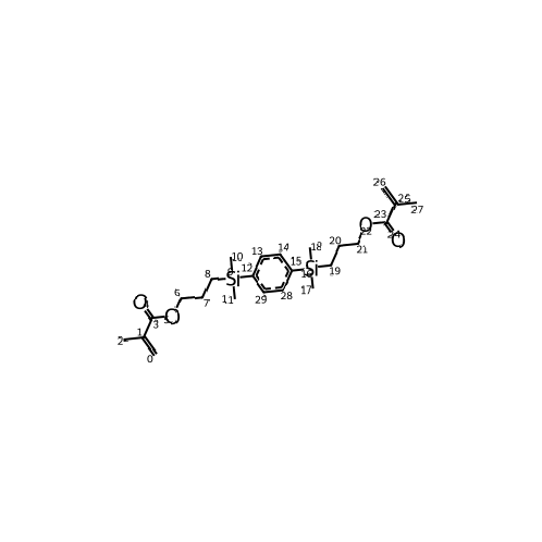 C=C(C)C(=O)OCCC[Si](C)(C)c1ccc([Si](C)(C)CCCOC(=O)C(=C)C)cc1